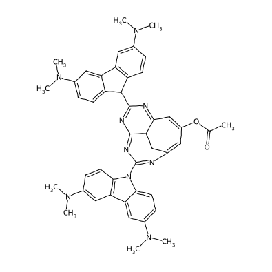 CC(=O)OC1=CC2=NC(C3c4ccc(N(C)C)cc4-c4cc(N(C)C)ccc43)=NC3=NC(n4c5ccc(N(C)C)cc5c5cc(N(C)C)ccc54)=NC(=C1)CC23